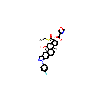 CC(=O)CSC(=O)[C@@]1(OC(=O)c2cocn2)CCC2[C@@H]3CCC4=Cc5c(cnn5-c5ccc(F)cc5)C[C@]4(C)C3[C@@H](O)C[C@@]21C